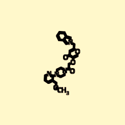 COCc1cccnc1N1CCN(C(=O)COc2coc(Cn3cc4ccccc4c3)cc2=O)CC1